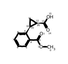 COC(=O)c1ccccc1[C@H]1C[C@H]1C(=O)O